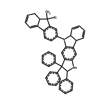 CCC1(C)c2cc(N3c4cc5c(cc4C4C=CC=CC43)NC(c3ccccc3)C5(c3ccccc3)c3ccccc3)ccc2C2=CC=CCC21